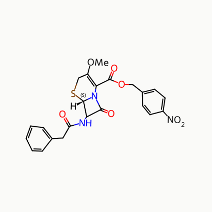 COC1=C(C(=O)OCc2ccc([N+](=O)[O-])cc2)N2C(=O)C(NC(=O)Cc3ccccc3)[C@@H]2SC1